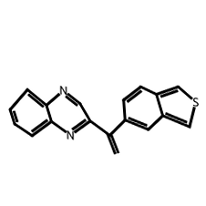 C=C(c1ccc2cscc2c1)c1cnc2ccccc2n1